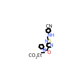 CCOC(=O)CCN(C(=O)c1cnc2sc(CNc3ccc(C#N)cc3)nc2c1)c1ccccc1